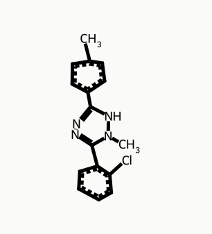 Cc1ccc(C2=NN=C(c3ccccc3Cl)N(C)N2)cc1